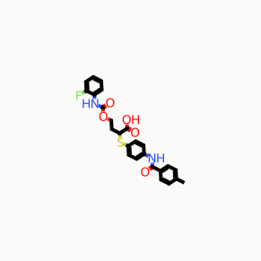 Cc1ccc(C(=O)Nc2ccc(SC(CCOC(=O)Nc3ccccc3F)C(=O)O)cc2)cc1